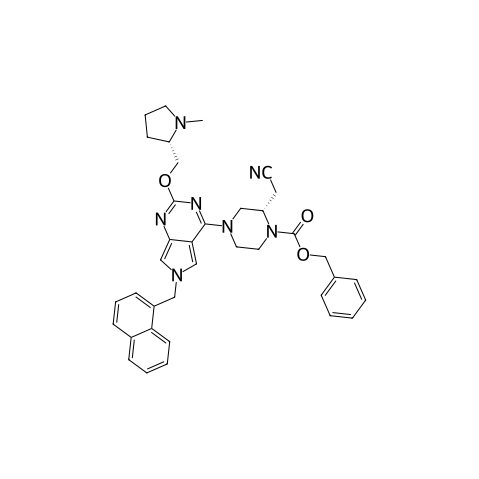 CN1CCC[C@H]1COc1nc(N2CCN(C(=O)OCc3ccccc3)[C@@H](CC#N)C2)c2cn(Cc3cccc4ccccc34)cc2n1